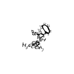 Cc1cc(Nc2cc(-c3ccccc3)cc(Br)n2)nn1C(C)(C)C